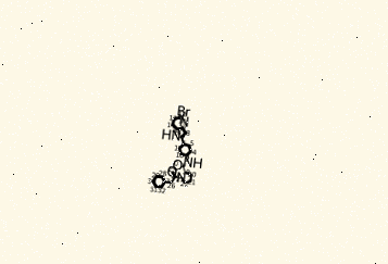 O=C(Nc1ccc(-c2cc3nc(Br)ccc3[nH]2)cc1)[C@@H]1CCCN1C(=O)Cc1ccccc1